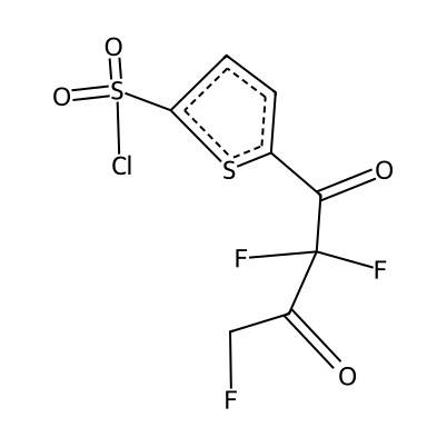 O=C(CF)C(F)(F)C(=O)c1ccc(S(=O)(=O)Cl)s1